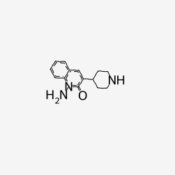 Nn1c(=O)c(C2CCNCC2)cc2ccccc21